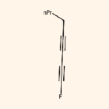 [CH2]CCCC#CC#CF